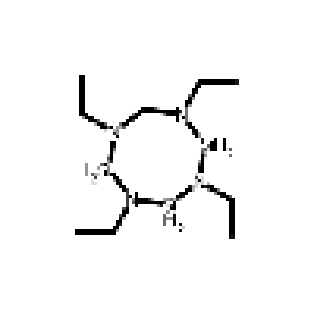 CCN1CN(CC)[SiH2]N(CC)[SiH2]N(CC)[SiH2]1